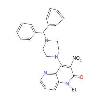 CCn1c(=O)c([N+](=O)[O-])c(N2CCN(C(c3ccccc3)c3ccccc3)CC2)c2ncccc21